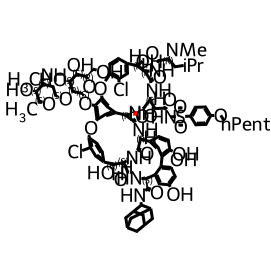 CCCCCOc1ccc(S(=O)(=O)NC(=O)C[C@@H]2NC(=O)[C@H](NC(=O)[C@@H](CC(C)C)NC)[C@H](O)c3ccc(c(Cl)c3)Oc3cc4cc(c3O[C@@H]3O[C@H](CO)[C@@H](O)[C@H](O)[C@H]3O[C@H]3C[C@](C)(N)[C@H](O)[C@H](C)O3)Oc3ccc(cc3Cl)[C@@H](O)[C@@H]3NC(=O)[C@H](NC(=O)[C@@H]4NC2=O)c2ccc(O)c(c2)-c2c(O)cc(O)cc2[C@@H](C(=O)NC2C4CC5CC(C4)CC2C5)NC3=O)cc1